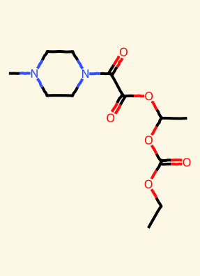 CCOC(=O)OC(C)OC(=O)C(=O)N1CCN(C)CC1